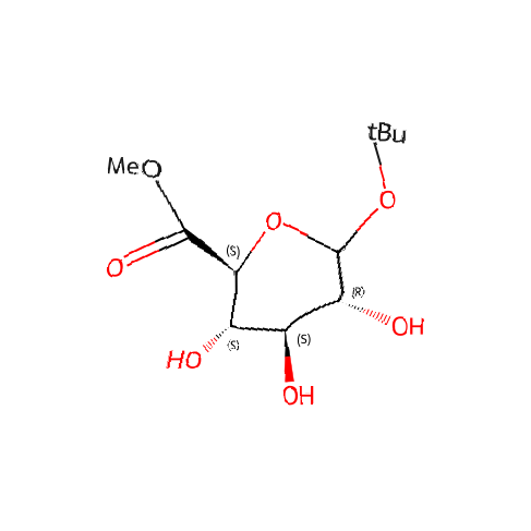 COC(=O)[C@H]1OC(OC(C)(C)C)[C@H](O)[C@@H](O)[C@@H]1O